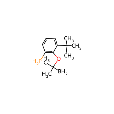 BC(C)(C)Oc1c(P)cccc1C(C)(C)C